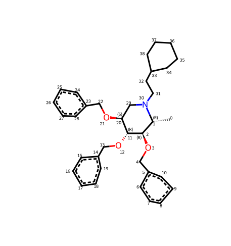 C[C@@H]1[C@@H](OCc2ccccc2)[C@H](OCc2ccccc2)[C@@H](OCc2ccccc2)CN1CCC1CCCCC1